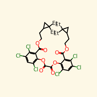 CCC1(CC)CC1CCOC(=O)c1c(Cl)c(Cl)cc(Cl)c1OC(=O)C(=O)Oc1c(Cl)cc(Cl)c(Cl)c1C(=O)OCCC1CC1(CC)CC